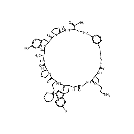 C[C@@H]1NC(=O)[C@@H]2CCCN2C(=O)[C@H](CCC2CCCCC2)NC(=O)[C@H](Cc2c[nH]c3ccc(F)cc23)NC(=O)CNC(=O)[C@H](CCCCN)NC(=O)CCSCc2cccc(c2)CSC[C@@H](C(N)=O)NC(=O)[C@@H]2CCCN2C(=O)[C@H](Cc2ccc(O)cc2)NC1=O